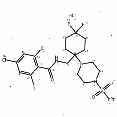 CCCS(=O)(=O)N1CCN(C2(CNC(=O)c3c(Cl)cc(Cl)cc3Cl)CCC(F)(F)CC2)CC1.Cl